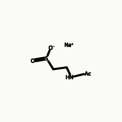 CC(=O)NCCS(=O)[O-].[Na+]